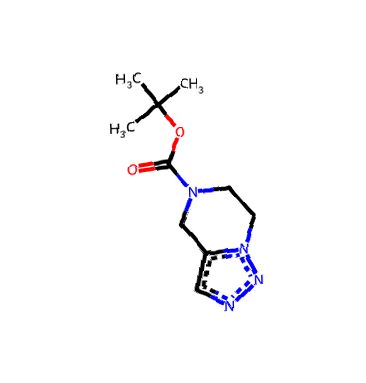 CC(C)(C)OC(=O)N1CCn2nncc2C1